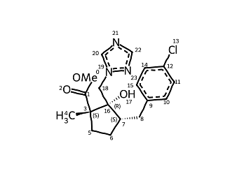 COC(=O)[C@@]1(C)CC[C@@H](Cc2ccc(Cl)cc2)[C@]1(O)Cn1cncn1